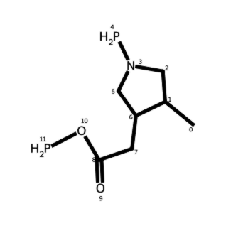 CC1CN(P)CC1CC(=O)OP